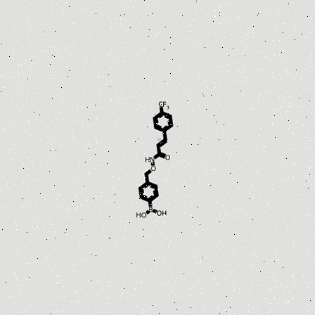 O=C(/C=C/c1ccc(C(F)(F)F)cc1)NOCc1ccc(B(O)O)cc1